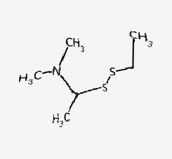 CCSSC(C)N(C)C